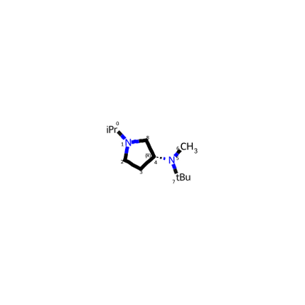 CC(C)N1CC[C@@H](N(C)C(C)(C)C)C1